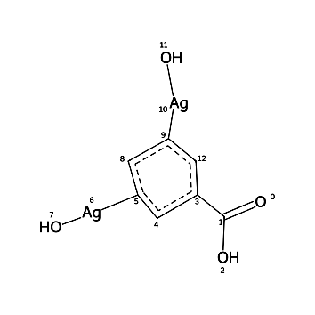 O=C(O)c1c[c]([Ag][OH])c[c]([Ag][OH])c1